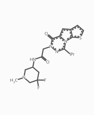 CC(C)c1nn(CC(=O)NC2CN(C)CC(F)(F)C2)c(=O)c2cc3ccsc3n12